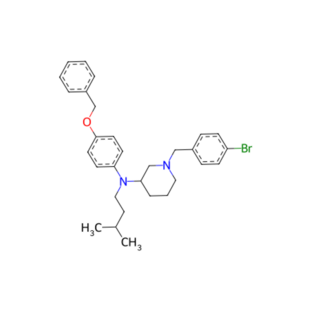 CC(C)CCN(c1ccc(OCc2ccccc2)cc1)C1CCCN(Cc2ccc(Br)cc2)C1